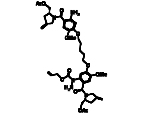 C=CCOC(=O)N(N)c1cc(OCCCCCOc2cc(N)c(C(=O)N3CC(=C)C[C@H]3COC(C)=O)cc2OC)c(OC)cc1C(=O)N1CC(=C)C[C@H]1COC(C)=O